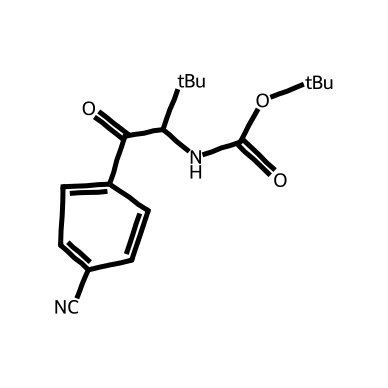 CC(C)(C)OC(=O)NC(C(=O)c1ccc(C#N)cc1)C(C)(C)C